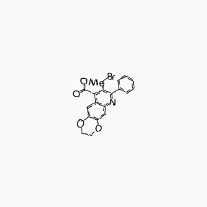 COC(=O)c1c(CBr)c(-c2ccccc2)nc2cc3c(cc12)OCCO3